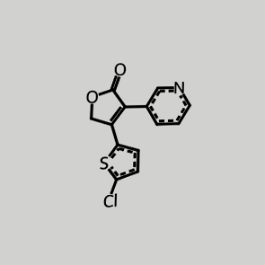 O=C1OCC(c2ccc(Cl)s2)=C1c1cccnc1